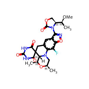 CO[C@@H](C)[C@@H]1COC(=O)N1c1noc2c(F)c3c(cc12)CC1(C(=O)NC(=O)NC1=O)[C@H]1[C@H](C)O[C@H](C)CN31